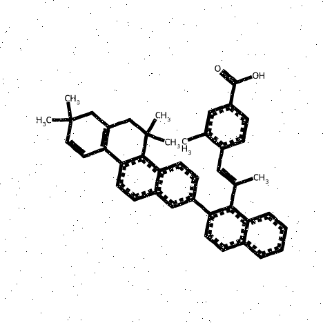 CC(=Cc1ccc(C(=O)O)cc1C)c1c(-c2ccc3c4c(ccc3c2)C2=C(CC(C)(C)C=C2)CC4(C)C)ccc2ccccc12